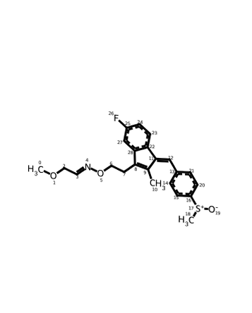 COCC=NOCCC1=C(C)C(=Cc2ccc([S+](C)[O-])cc2)c2ccc(F)cc21